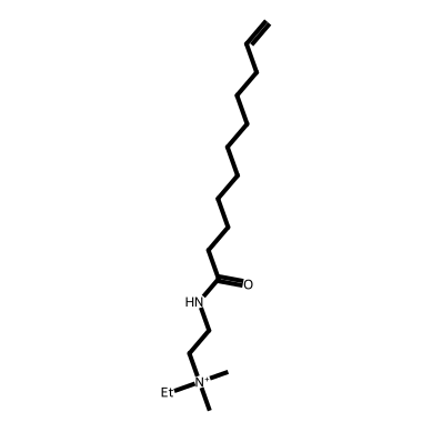 C=CCCCCCCCCC(=O)NCC[N+](C)(C)CC